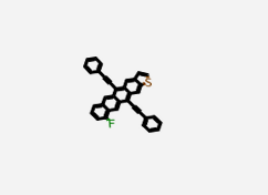 Fc1cccc2cc3c(C#Cc4ccccc4)c4cc5ccsc5cc4c(C#Cc4ccccc4)c3cc12